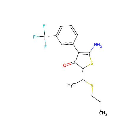 CCCSC(C)C1SC(N)=C(c2cccc(C(F)(F)F)c2)C1=O